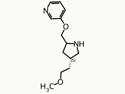 COCC[C@H]1CNC(COc2cccnc2)C1